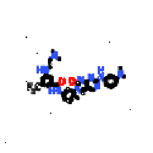 Cc1ccc(NC(=O)c2cc(NCCN(C)C)cc(C(F)(F)F)c2)cc1-n1c(C)c2cnc(Nc3cccc(N(C)C)c3)nc2nc1=O